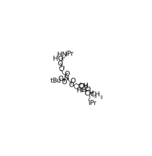 CC(C)CCC[C@@H](C)[C@H]1CC[C@H]2[C@@H]3CC=C4C[C@@H](OC(=O)CCN(C(=O)Cc5ccc(OCC(O)CNC(C)C)cc5)C(=O)OC(C)(C)C)CC[C@]4(C)[C@H]3CC[C@]12C